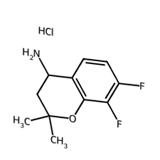 CC1(C)CC(N)c2ccc(F)c(F)c2O1.Cl